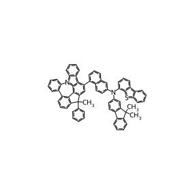 CC1(C)c2ccccc2-c2ccc(N(c3ccc4c(-c5cc6c7c8c5c5ccccc5n8-c5ccccc5-c5cccc(c5-7)C6(C)c5ccccc5)cccc4c3)c3cccc4c3sc3ccccc34)cc21